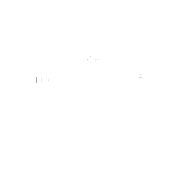 OCC1CCC(F)C1O